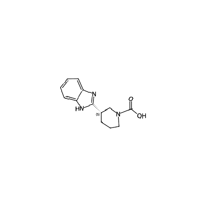 O=C(O)N1CCC[C@H](c2nc3ccccc3[nH]2)C1